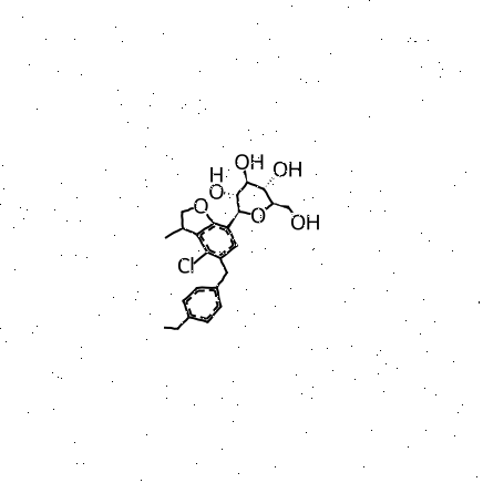 CCc1ccc(Cc2cc([C@@H]3O[C@H](CO)[C@@H](O)[C@H](O)[C@H]3O)c3c(c2Cl)C(C)CO3)cc1